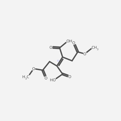 COC(=O)C/C(C(=O)O)=C(/CC(=O)OC)C(=O)O